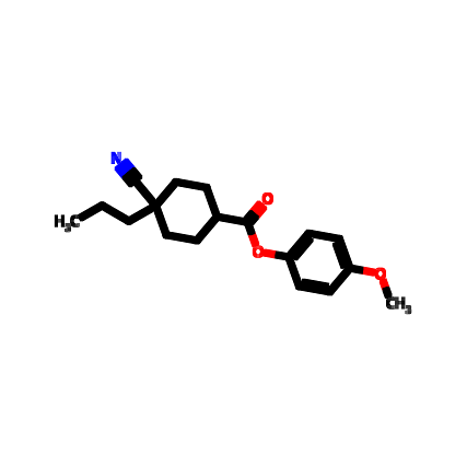 CCCC1(C#N)CCC(C(=O)Oc2ccc(OC)cc2)CC1